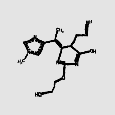 C/C(=C1/N=C(OCCO)N=C(O)C1CC=N)c1cn(C)cn1